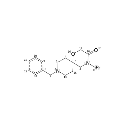 CC(C)N1CC2(CCN(Cc3ccccc3)CC2)OCC1=O